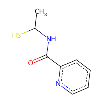 CC(S)NC(=O)c1ccccn1